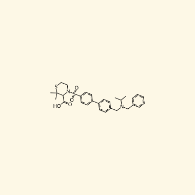 CC(C)N(Cc1ccccc1)Cc1ccc(-c2ccc(S(=O)(=O)N3CCSC(C)(C)C3C(=O)O)cc2)cc1